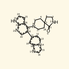 O=C1NCCC12CCN(c1c(-c3ccn4ccnc4c3)cnc3[nH]ccc13)CC2